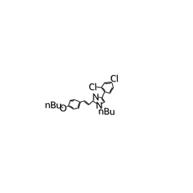 CCCCOc1ccc(C=Cc2nc(-c3ccc(Cl)cc3Cl)cn2CCCC)cc1